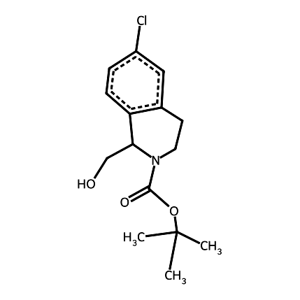 CC(C)(C)OC(=O)N1CCc2cc(Cl)ccc2C1CO